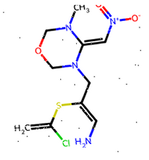 C=C(Cl)S/C(=C\N)CN1COCN(C)/C1=C\[N+](=O)[O-]